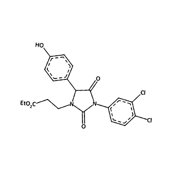 CCOC(=O)CCN1C(=O)N(c2ccc(Cl)c(Cl)c2)C(=O)C1c1ccc(O)cc1